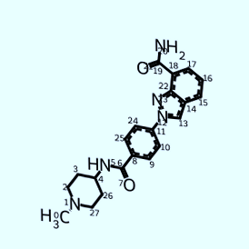 CN1CCC(NC(=O)c2ccc(-n3cc4cccc(C(N)=O)c4n3)cc2)CC1